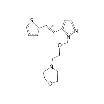 C(=C\c1ccnn1COCCN1CCOCC1)/c1cccs1